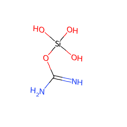 N=C(N)O[Si](O)(O)O